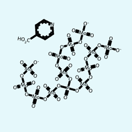 O=C(O)c1ccncc1.O=P([O][Mo](=[O])(=[O])[O][Mo](=[O])(=[O])[O][Mo](=[O])(=[O])[O][Mo](=[O])(=[O])[O-])([O][Mo](=[O])(=[O])[O][Mo](=[O])(=[O])[O][Mo](=[O])(=[O])[O][Mo](=[O])(=[O])[O-])[O][Mo](=[O])(=[O])[O][Mo](=[O])(=[O])[O][Mo](=[O])(=[O])[O][Mo](=[O])(=[O])[O-]